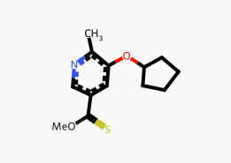 COC(=S)c1cnc(C)c(OC2CCCC2)c1